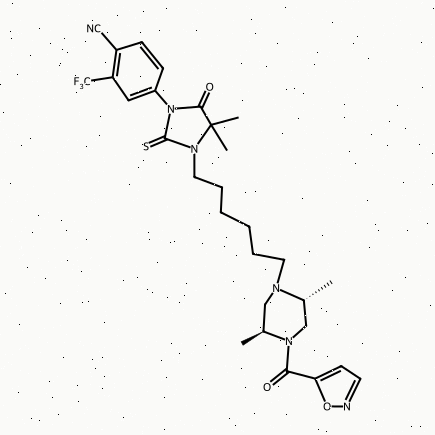 C[C@@H]1CN(C(=O)c2ccno2)[C@@H](C)CN1CCCCCCN1C(=S)N(c2ccc(C#N)c(C(F)(F)F)c2)C(=O)C1(C)C